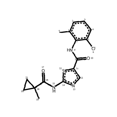 Cc1cccc(Cl)c1NC(=O)c1cnc(NC(=O)C2(C)CC2)s1